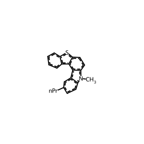 CCCc1ccc2c(c1)c1c3c(ccc1n2C)sc1ccccc13